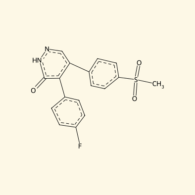 CS(=O)(=O)c1ccc(-c2cn[nH]c(=O)c2-c2ccc(F)cc2)cc1